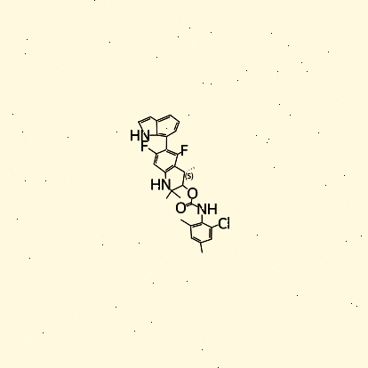 Cc1cc(C)c(NC(=O)OC2[C@@H](C)c3c(cc(F)c(-c4cccc5cc[nH]c45)c3F)NC2(C)C)c(Cl)c1